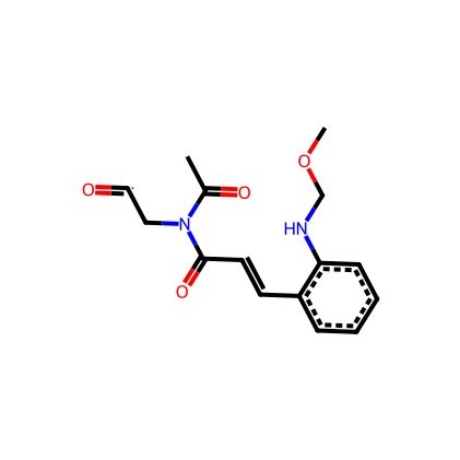 COCNc1ccccc1/C=C/C(=O)N(C[C]=O)C(C)=O